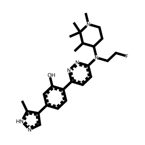 Cc1[nH]ncc1-c1ccc(-c2ccc(N(CCF)C3CCN(C)C(C)(C)C3C)nn2)c(O)c1